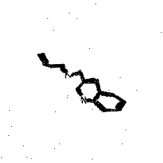 C=CC/N=C/c1cnc2ccccc2c1